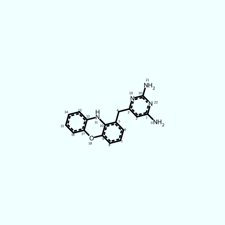 Nc1cc(Cc2cccc3c2Nc2ccccc2O3)nc(N)n1